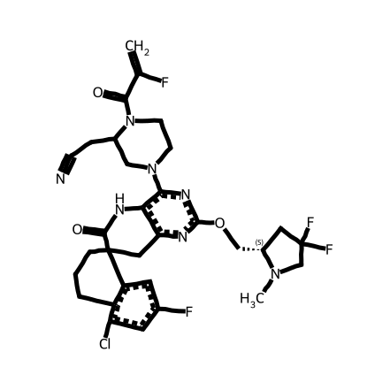 C=C(F)C(=O)N1CCN(c2nc(OC[C@@H]3CC(F)(F)CN3C)nc3c2NC(=O)C2(CCCc4c(Cl)cc(F)cc42)C3)CC1CC#N